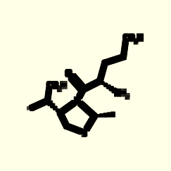 [CH2]C(C(=O)O)[C@H]1CS[C@@H](C)N1C(=O)[C@@H](N)CCC(=O)O